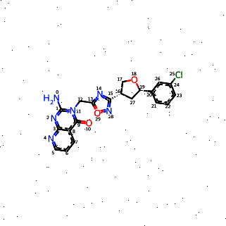 Nc1nc2ncccc2c(=O)n1Cc1nc([C@@H]2CO[C@@H](c3cccc(Cl)c3)C2)no1